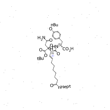 CCCCCCCC(=O)CCCCCC/C=C/[C@H](C(=O)N[C@@H](Cc1ccc(OCCCC)cc1)C(=O)O)[C@@](O)(CC(N)=O)C(=O)OC(C)(C)C